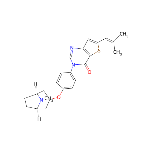 CC(C)=Cc1cc2ncn(-c3ccc(OC4C[C@H]5CC[C@@H](C4)N5C)cc3)c(=O)c2s1